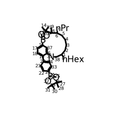 CCCCCCC1CCCCC(CCC)C2(C)OB(OC2(C)C)c2ccc3c4ccc(B5OC(C)(C)C(C)(C)O5)cc4n(c3c2)C1